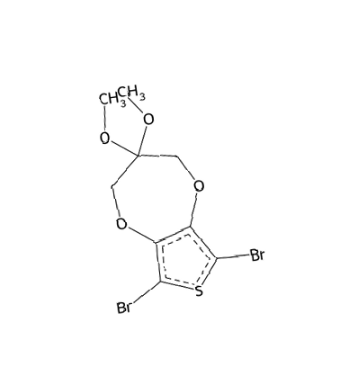 COC1(OC)COc2c(Br)sc(Br)c2OC1